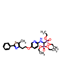 CCOP(=O)(OCC)C(Nc1ccc(OCCc2nc(-c3ccccc3)sc2C)cn1)P(=O)(OCC)OCC